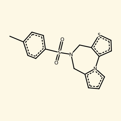 Cc1ccc(S(=O)(=O)N2Cc3sccc3-n3cccc3C2)cc1